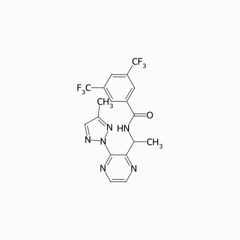 Cc1cnn(-c2nccnc2C(C)NC(=O)c2cc(C(F)(F)F)cc(C(F)(F)F)c2)n1